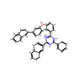 C1=CC2=CC(c3nc(-c4ccccc4)nc(-c4cccc5oc6cc(-c7ccc8ccccc8c7)ccc6c45)n3)=CCC2C=C1